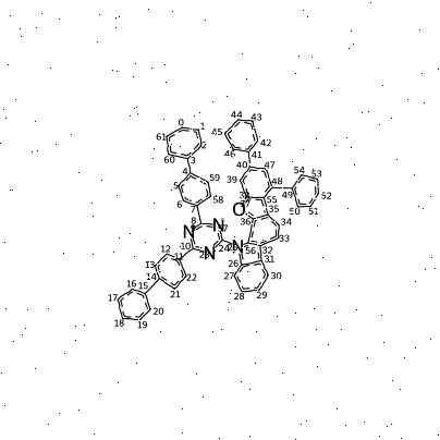 c1ccc(-c2ccc(-c3nc(-c4ccc(-c5ccccc5)cc4)nc(-n4c5ccccc5c5ccc6c(oc7cc(-c8ccccc8)cc(-c8ccccc8)c76)c54)n3)cc2)cc1